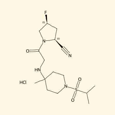 CC(C)S(=O)(=O)N1CCC(C)(NCC(=O)N2C[C@@H](F)C[C@H]2C#N)CC1.Cl